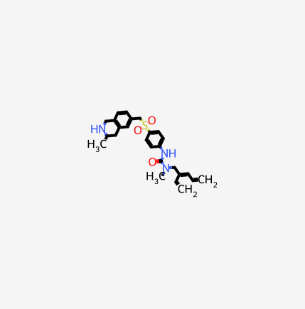 C=C/C=C(\C=C)CN(C)C(=O)Nc1ccc(S(=O)(=O)Cc2ccc3c(c2)CC(C)NC3)cc1